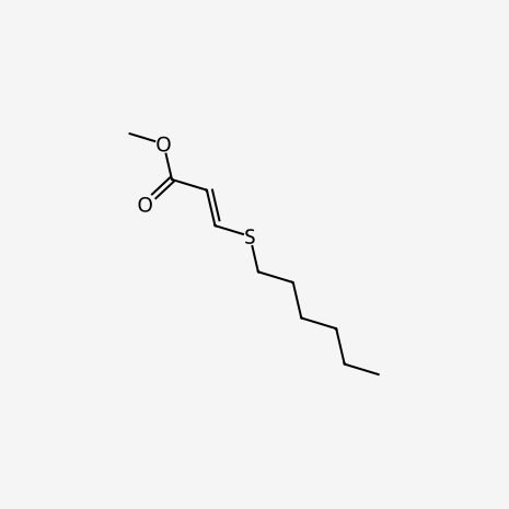 CCCCCCSC=CC(=O)OC